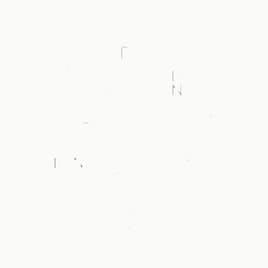 NC(=O)c1cc[nH]c1C(F)(F)F